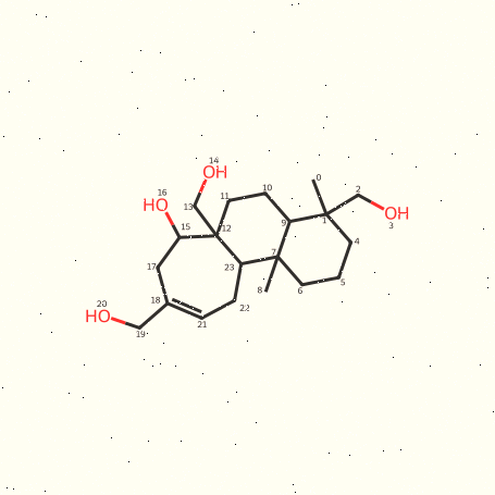 CC1(CO)CCCC2(C)C1CCC1(CO)C(O)CC(CO)=CCC21